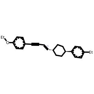 CCOc1ccc(C#C/C=C/[C@H]2CC[C@H](c3ccc(CC)cc3)CC2)cc1